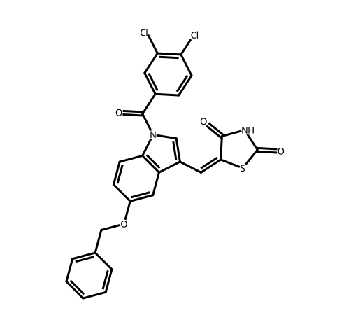 O=C1NC(=O)C(=Cc2cn(C(=O)c3ccc(Cl)c(Cl)c3)c3ccc(OCc4ccccc4)cc23)S1